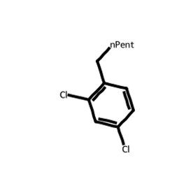 CCCCCCc1ccc(Cl)cc1Cl